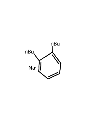 CCCCc1ccccc1CCCC.[Na]